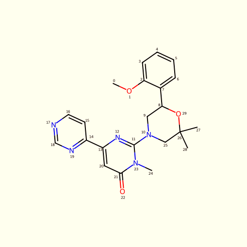 COc1ccccc1C1CN(c2nc(-c3ccncn3)cc(=O)n2C)CC(C)(C)O1